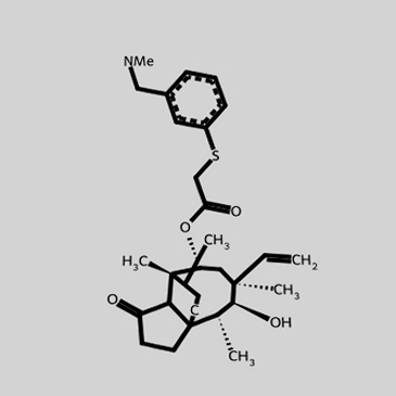 C=C[C@]1(C)C[C@@H](OC(=O)CSc2cccc(CNC)c2)[C@]2(C)C(C)CCC3(CCC(=O)C32)[C@@H](C)[C@@H]1O